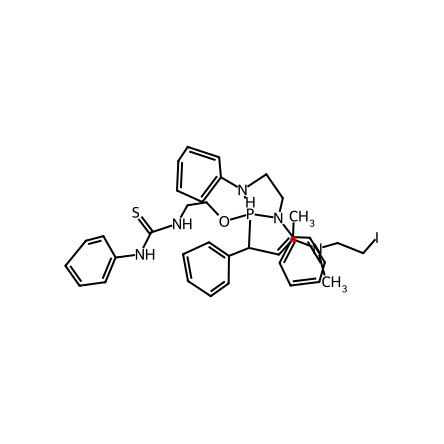 C/C(=C\C(c1ccccc1)[PH]1(OCCNC(=S)Nc2ccccc2)N(c2ccccc2)CCN1c1ccccc1)N(C)CCI